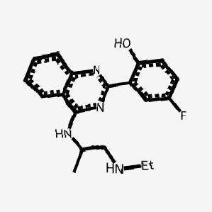 CCNCC(C)Nc1nc(-c2cc(F)ccc2O)nc2ccccc12